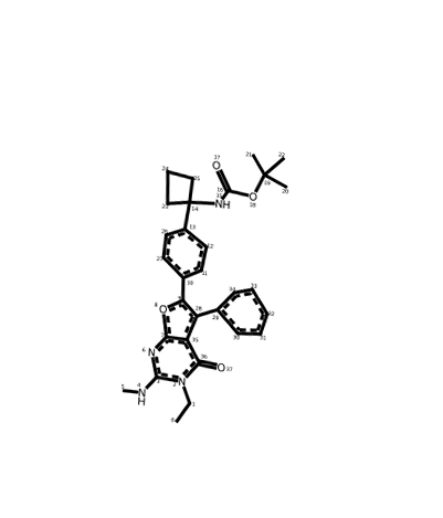 CCn1c(NC)nc2oc(-c3ccc(C4(NC(=O)OC(C)(C)C)CCC4)cc3)c(-c3ccccc3)c2c1=O